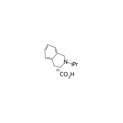 CC(C)N1Cc2ccccc2C[C@H]1C(=O)O